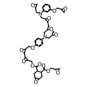 O=C(OCC1CO1)C1CC2OC2CC1C(=O)OCC1OC1C1OC1COc1ccc(N(CC2CO2)CC2OC2C2OC2CN(CC2CO2)c2cccc(OCC3CO3)c2)cc1